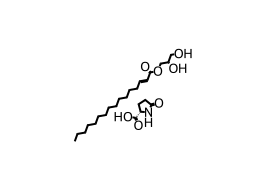 CCCCCCCCCCCCC/C=C/C(=O)OCC(O)CO.O=C1CC[C@@H](C(=O)O)N1